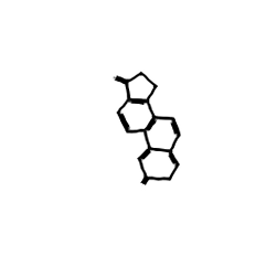 O=C1C=c2c(ccc3c4c(ccc23)C(=O)CC4)=CC1